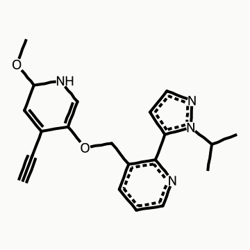 C#CC1=CC(OC)NC=C1OCc1cccnc1-c1ccnn1C(C)C